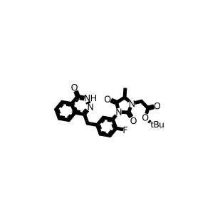 CC1C(=O)N(c2cc(Cc3n[nH]c(=O)c4ccccc34)ccc2F)C(=O)N1CC(=O)OC(C)(C)C